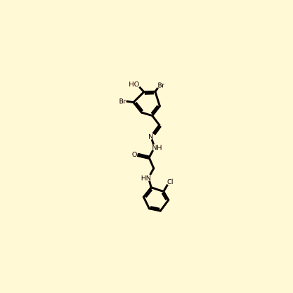 O=C(CNc1ccccc1Cl)NN=Cc1cc(Br)c(O)c(Br)c1